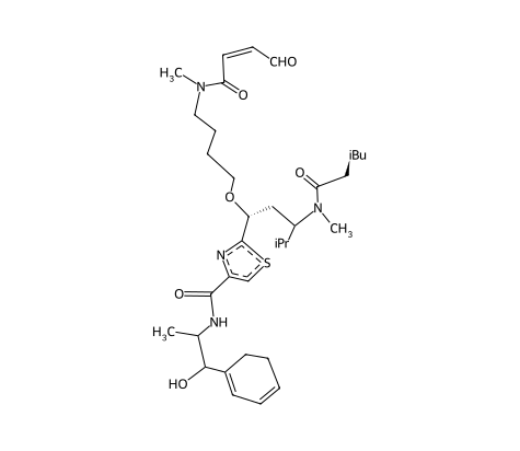 CC[C@H](C)CC(=O)N(C)C(C[C@@H](OCCCCN(C)C(=O)/C=C\C=O)c1nc(C(=O)NC(C)C(O)C2=CC=CCC2)cs1)C(C)C